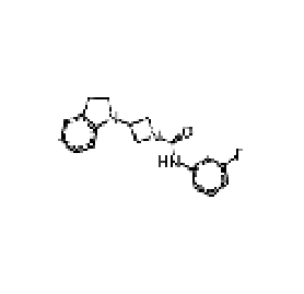 O=C(Nc1cccc(F)c1)N1CC(N2CCc3ccccc32)C1